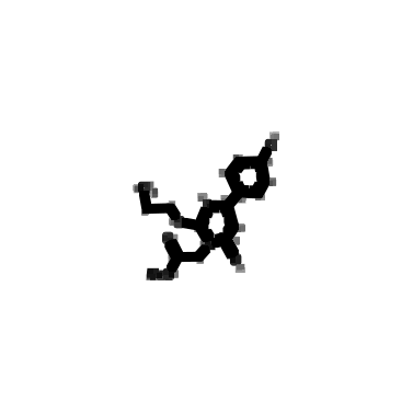 COC(=O)Cn1c(OCCC(F)(F)F)bc(-c2ccc(Cl)cc2)cc1=O